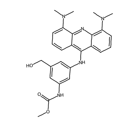 COC(=O)Nc1cc(CO)cc(Nc2c3cccc(N(C)C)c3nc3c(N(C)C)cccc23)c1